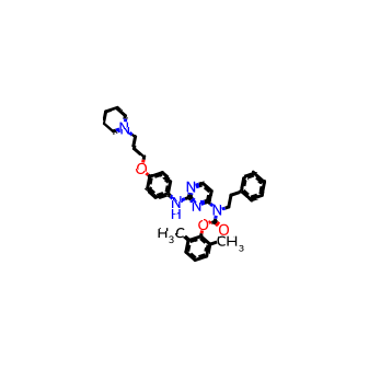 Cc1cccc(C)c1OC(=O)N(CCc1ccccc1)c1ccnc(Nc2ccc(OCCCN3CCCCC3)cc2)n1